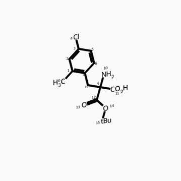 Cc1cc(Cl)ccc1CC(N)(C(=O)O)C(=O)OC(C)(C)C